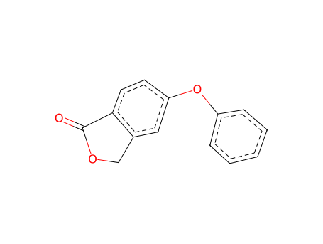 O=C1OCc2cc(Oc3ccccc3)ccc21